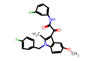 COc1ccc2c(c1)c(C(=O)C(=O)Nc1cccc(F)c1)c(C)n2Cc1ccc(F)cc1